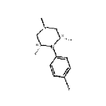 C[C@@H]1CN(C)C[C@H](C)N1c1ccc(F)cc1